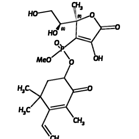 C=CC1=C(C)C(=O)C(OP(=O)(OC)C2=C(O)C(=O)O[C@]2(C)[C@@H](O)CO)CC1(C)C